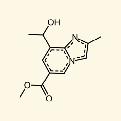 COC(=O)c1cc(C(C)O)c2nc(C)cn2c1